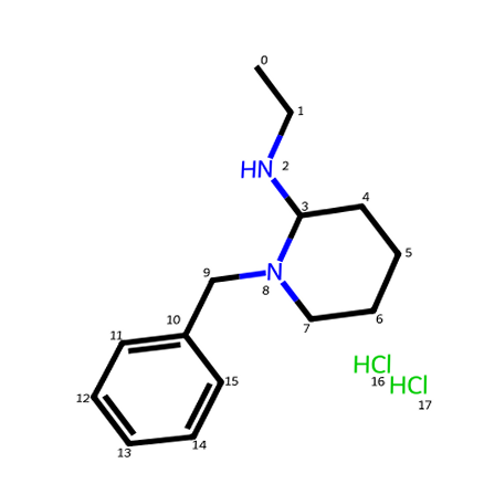 CCNC1CCCCN1Cc1ccccc1.Cl.Cl